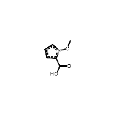 COn1cccc1C(=O)O